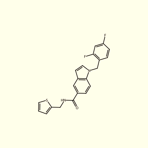 O=C(NCc1cccs1)c1ccc2c(ccn2Cc2ccc(F)cc2F)c1